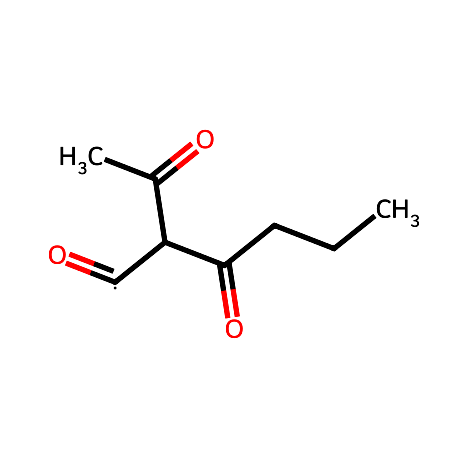 CCCC(=O)C([C]=O)C(C)=O